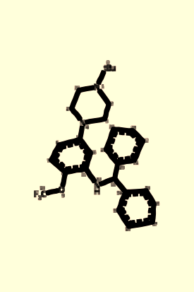 CC(C)(C)N1CCN(c2ccc(OC(F)(F)F)c(NC(c3ccccc3)c3ccccc3)c2)CC1